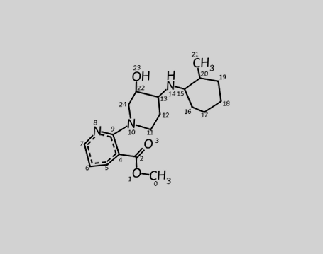 COC(=O)c1cccnc1N1CCC(NC2CCCCC2C)C(O)C1